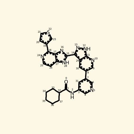 O=C(Nc1cncc(-c2cnc3[nH]nc(-c4nc5c(-c6ccsc6)nccc5[nH]4)c3c2)c1)C1CCCCC1